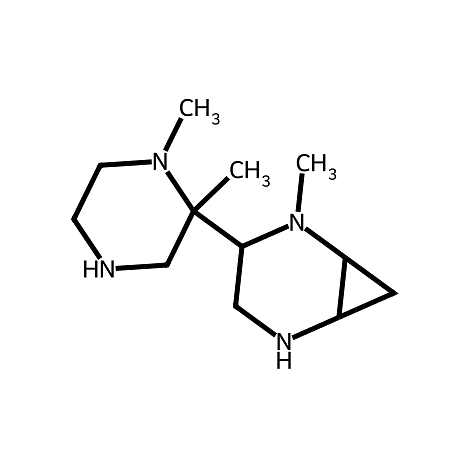 CN1C2CC2NCC1C1(C)CNCCN1C